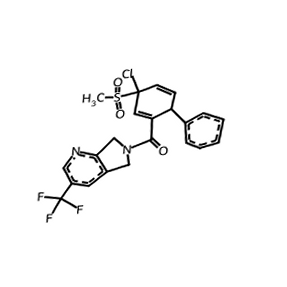 CS(=O)(=O)C1(Cl)C=CC(c2ccccc2)C(C(=O)N2Cc3cc(C(F)(F)F)cnc3C2)=C1